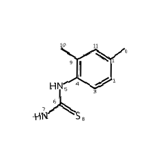 Cc1ccc(NC([NH])=S)c(C)c1